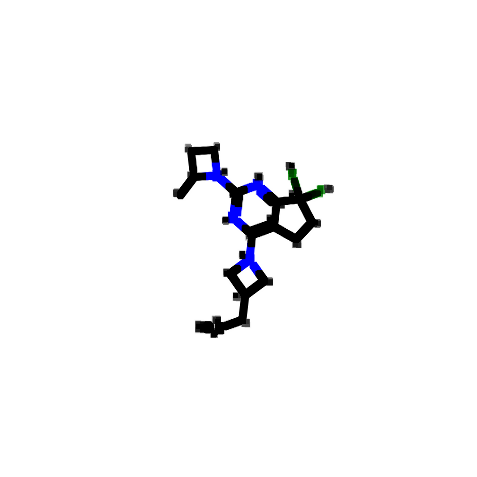 CC1CCN1c1nc(N2CC(CC(=O)O)C2)c2c(n1)C(F)(F)CC2